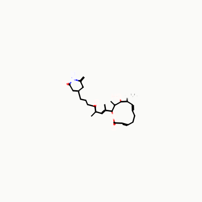 C=C1CC(CCCC(=O)C(C)/C=C(\C)C2OC(=O)/C=C/CC/C=C/C(OC)C(O)C2C)CC(=O)N1